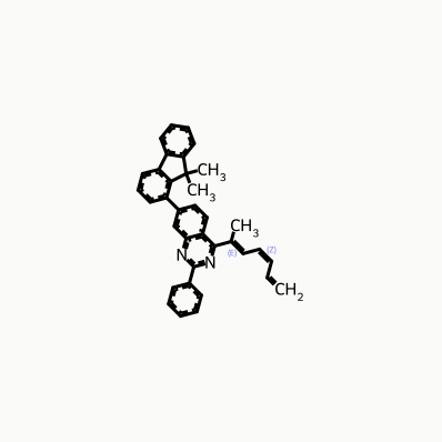 C=C/C=C\C=C(/C)c1nc(-c2ccccc2)nc2cc(-c3cccc4c3C(C)(C)c3ccccc3-4)ccc12